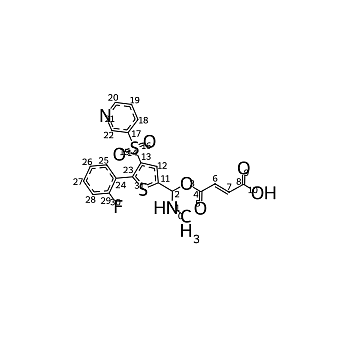 CNC(OC(=O)/C=C/C(=O)O)c1cc(S(=O)(=O)c2cccnc2)c(-c2ccccc2F)s1